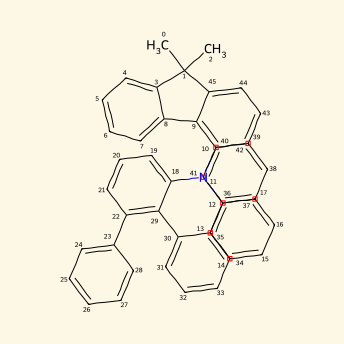 CC1(C)c2ccccc2-c2c(N(c3ccccc3)c3cccc(-c4ccccc4)c3-c3ccccc3-c3ccccc3)cccc21